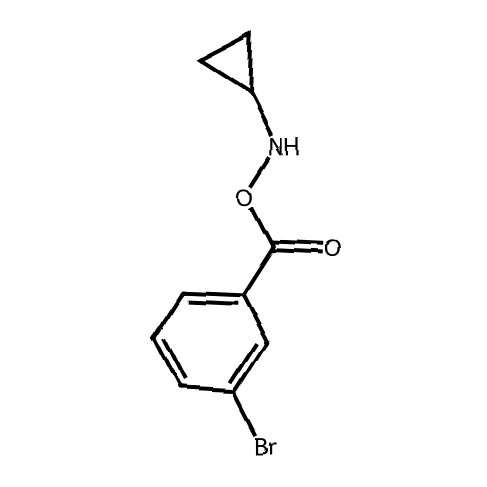 O=C(ONC1CC1)c1cccc(Br)c1